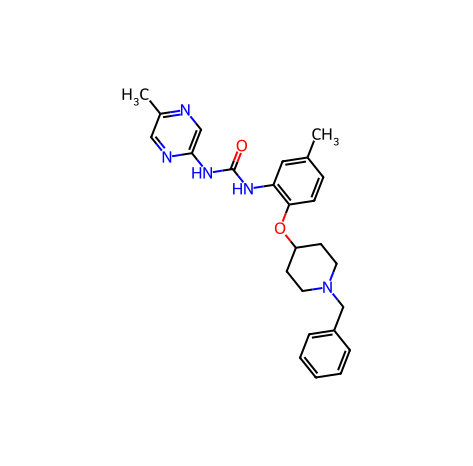 Cc1ccc(OC2CCN(Cc3ccccc3)CC2)c(NC(=O)Nc2cnc(C)cn2)c1